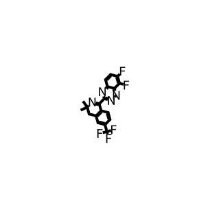 CC1(C)Cc2cc(C(F)(F)F)ccc2C(c2nnc3c(F)c(F)ccc3n2)=N1